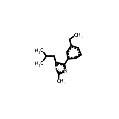 CCc1cccc(-c2nc(C)sc2CC(C)C)c1